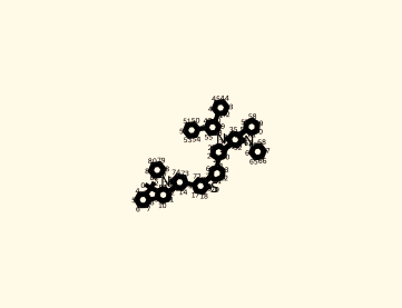 CC1(C)c2ccccc2-c2ccc3c4cc(-c5ccc6sc7ccc(-c8ccc9c(c8)c8cc%10c(cc8n9-c8cc(-c9ccccc9)cc(-c9ccccc9)c8)c8ccccc8n%10-c8ccccc8)cc7c6c5)ccc4n(-c4ccccc4)c3c21